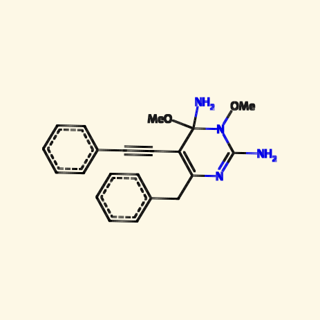 CON1C(N)=NC(Cc2ccccc2)=C(C#Cc2ccccc2)C1(N)OC